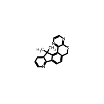 CC1(C)c2cccnc2-c2ccc3c(c21)-c1nccnc1SC3